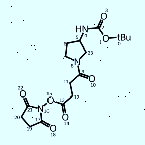 CC(C)(C)OC(=O)NC1CCN(C(=O)CCC(=O)ON2C(=O)CCC2=O)C1